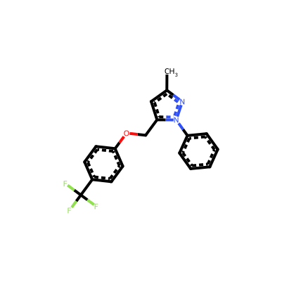 Cc1cc(COc2ccc(C(F)(F)F)cc2)n(-c2ccccc2)n1